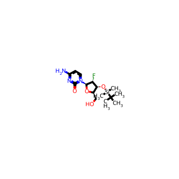 CC(C)(C)[Si](C)(C)O[C@H]1[C@@H](F)[C@H](n2ccc(N)nc2=O)O[C@@H]1CO